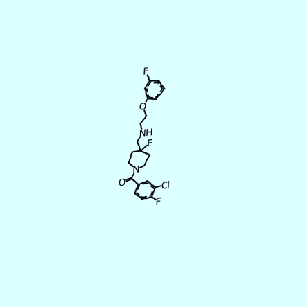 O=C(c1ccc(F)c(Cl)c1)N1CCC(F)(CNCCOc2cccc(F)c2)CC1